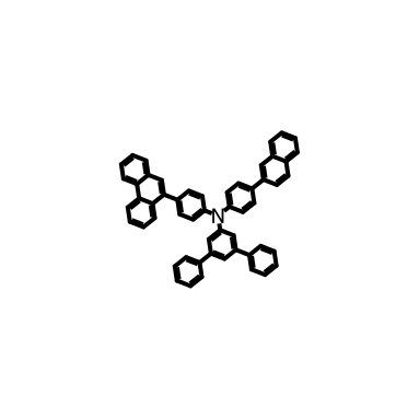 c1ccc(-c2cc(-c3ccccc3)cc(N(c3ccc(-c4ccc5ccccc5c4)cc3)c3ccc(-c4cc5ccccc5c5ccccc45)cc3)c2)cc1